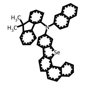 CC1(C)c2ccccc2-c2c(N(c3ccc4ccccc4c3)c3ccc4c(c3)[se]c3c4ccc4ccc5ccccc5c43)cccc21